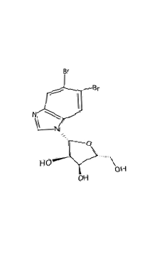 OC[C@H]1O[C@@H](n2cnc3cc(Br)c(Br)cc32)[C@H](O)[C@@H]1O